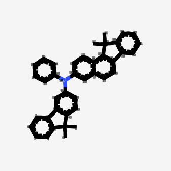 CC1(C)c2ccccc2-c2cc(N(c3ccccc3)c3ccc4c5c(ccc4c3)-c3ccccc3C5(C)C)ccc21